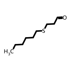 CCCCCCSCCC=O